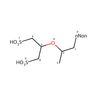 CCCCCCCCCCC(C)OC(CS(=O)(=O)O)CS(=O)(=O)O